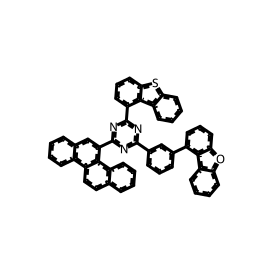 c1cc(-c2nc(-c3cccc4sc5ccccc5c34)nc(-c3cc4ccccc4c4ccc5ccccc5c34)n2)cc(-c2cccc3oc4ccccc4c23)c1